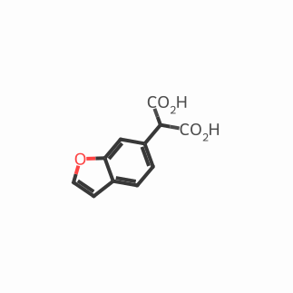 O=C(O)C(C(=O)O)c1ccc2ccoc2c1